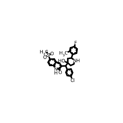 Cc1cc(F)ccc1C1CC(O)(C(c2ccc(Cl)cc2)c2cc3cc(S(C)(=O)=O)ccc3[nH]c2=O)CCN1